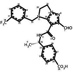 C[C@H](NC(=O)c1c(C=O)nn2c1N(Cc1cccc(C(F)(F)F)c1)CC2)c1ccc(C(=O)O)cc1